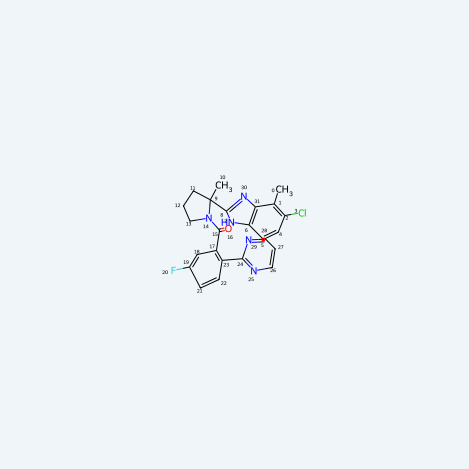 Cc1c(Cl)ccc2[nH]c(C3(C)CCCN3C(=O)c3cc(F)ccc3-c3ncccn3)nc12